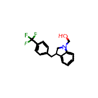 OCN1CC(Cc2ccc(C(F)(F)F)cc2)c2ccccc21